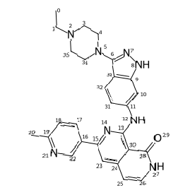 CCN1CCN(c2n[nH]c3cc(Nc4nc(-c5ccc(C)nc5)cc5cc[nH]c(=O)c45)ccc23)CC1